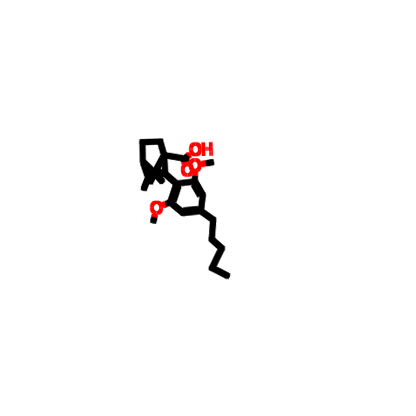 CCCCCc1cc(OC)c(C2=C(C)C3CCC2(C(=O)O)C3(C)C)c(OC)c1